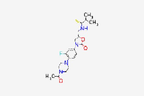 CC(=O)N1CCN(c2ccc(N3CC(CNC(=S)C(C)C)OC3=O)cc2F)CC1